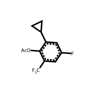 CC(=O)Oc1c(C2CC2)cc(F)cc1C(F)(F)F